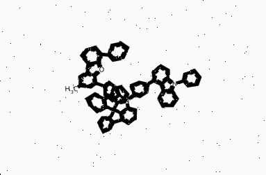 Cc1cc(-c2ccc(N(c3ccc(-c4cccc5c4c4ccccc4n5-c4ccccc4)cc3)c3cccc4c3C3(c5ccccc5-c5ccccc53)c3ccccc3-4)cc2)c2oc3c(-c4ccccc4)cccc3c2c1